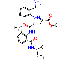 COC(=O)C1=NN(c2ccccc2CN)C(C(=O)Nc2c(C)cccc2C(=O)NC(C)C)C1